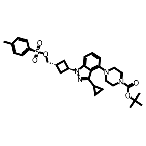 Cc1ccc(S(=O)(=O)OC[C@H]2C[C@H](n3nc(C4CC4)c4c(N5CCN(C(=O)OC(C)(C)C)CC5)cccc43)C2)cc1